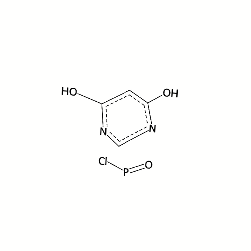 O=PCl.Oc1cc(O)ncn1